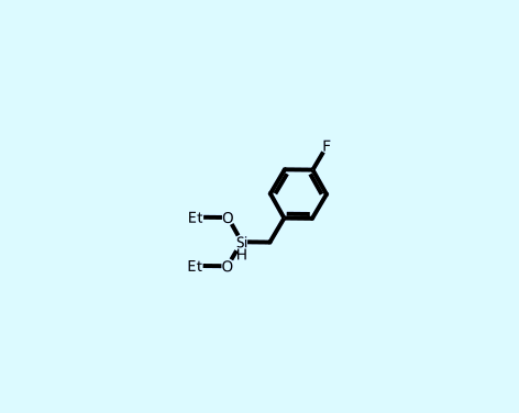 CCO[SiH](Cc1ccc(F)cc1)OCC